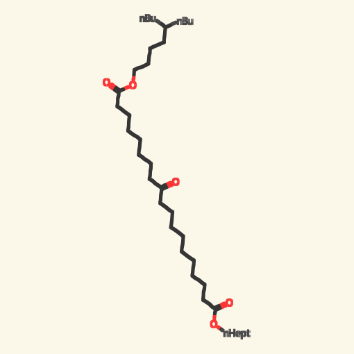 CCCCCCCOC(=O)CCCCCCCCCC(=O)CCCCCCCC(=O)OCCCCC(CCCC)CCCC